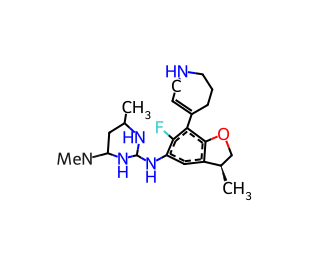 CNC1CC(C)NC(Nc2cc3c(c(C4=CCNCCC4)c2F)OC[C@H]3C)N1